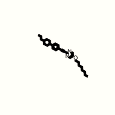 CCCCCCCCOc1cnc(C#Cc2ccc(C3CCC(CCC)CC3)cc2)nc1